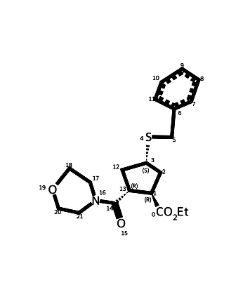 CCOC(=O)[C@@H]1C[C@@H](SCc2ccccc2)C[C@H]1C(=O)N1CCOCC1